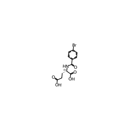 O=C(O)CC[C@H](NC(=O)c1ccc(Br)cc1)C(=O)O